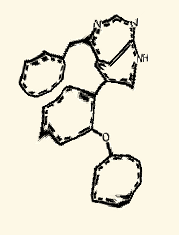 c1ccc(Oc2ccccc2-c2c[nH]c3ncnc(-c4ccccc4)c23)cc1